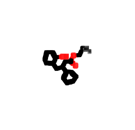 CCOC(=O)CC(Cc1ccccc1O)c1ccccc1